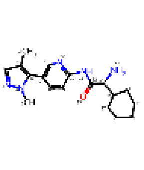 Cc1cnn(C)c1-c1ccc(NC(=O)[C@@H](N)C2CCCCC2)nc1